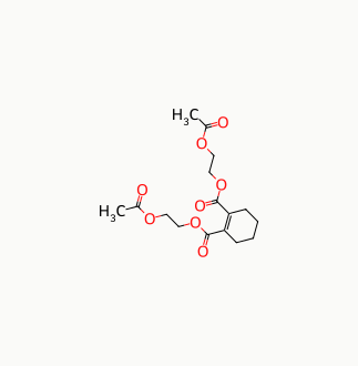 CC(=O)OCCOC(=O)C1=C(C(=O)OCCOC(C)=O)CCCC1